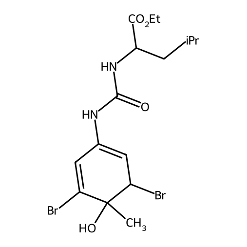 CCOC(=O)C(CC(C)C)NC(=O)NC1=CC(Br)C(C)(O)C(Br)=C1